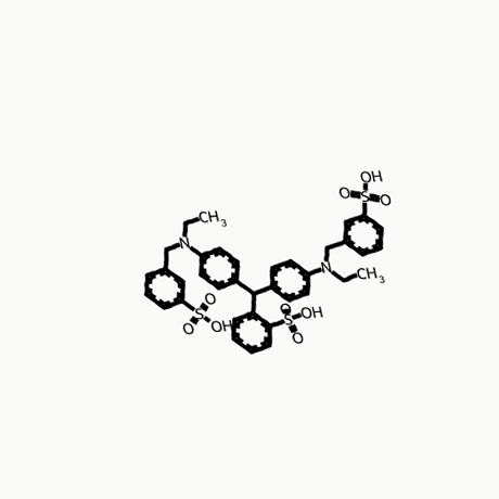 CCN(Cc1cccc(S(=O)(=O)O)c1)c1ccc(C(c2ccc(N(CC)Cc3cccc(S(=O)(=O)O)c3)cc2)c2ccccc2S(=O)(=O)O)cc1